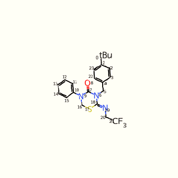 CC(C)(C)c1ccc(CN2C(=O)N(c3ccccc3)CSC2=NCC(F)(F)F)cc1